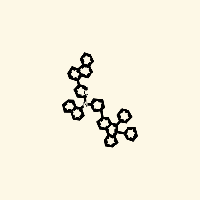 c1ccc(-c2c(-c3ccccc3)c3cc(-c4cccc(N(c5ccc(-c6cccc7c6ccc6ccccc67)cc5)c5cccc6ccccc56)c4)ccc3c3ccccc23)cc1